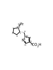 CC(C)N1CCC[C@H]1Cn1cc(C(=O)O)cn1